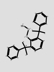 CC(C)(C)OOc1c(C(C)(C)c2ccccc2)cccc1C(C)(C)c1ccccc1